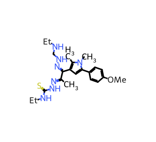 CCNCN/N=C(/C(C)=N/NC(=S)NCC)c1cc(-c2ccc(OC)cc2)n(C)c1C